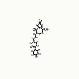 CCn1cc2c(c1)C(O)CCN(CCCN1CCN(c3ccc(F)cc3)CC1)C2=O